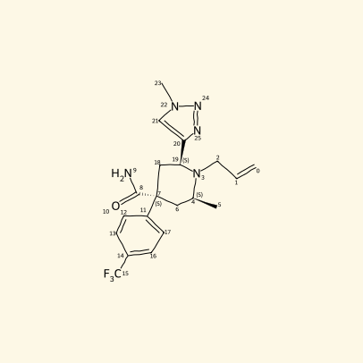 C=CCN1[C@@H](C)C[C@@](C(N)=O)(c2ccc(C(F)(F)F)cc2)C[C@H]1c1cn(C)nn1